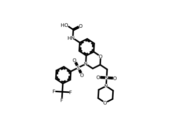 O=C(O)Nc1ccc2c(c1)N(S(=O)(=O)c1cccc(C(F)(F)F)c1)CC(CS(=O)(=O)N1CCOCC1)O2